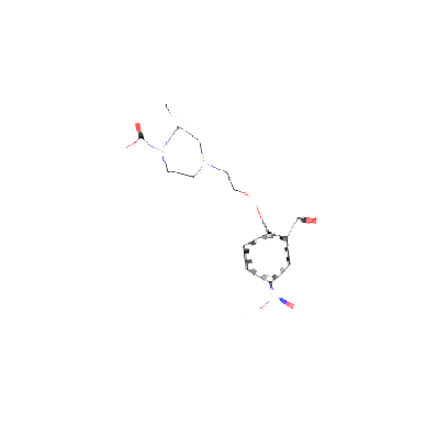 C[C@H]1CN(CCOc2ccc([N+](=O)[O-])cc2C=O)CCN1C(=O)O